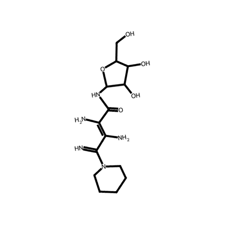 N=C(/C(N)=C(\N)C(=O)NC1OC(CO)C(O)C1O)N1CCCCC1